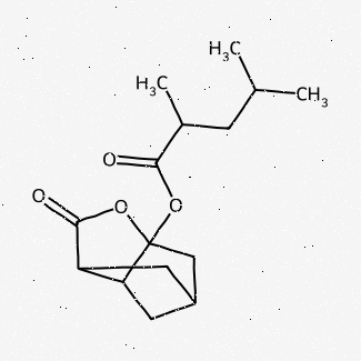 CC(C)CC(C)C(=O)OC12CC3CC(C(=O)O1)C2C3